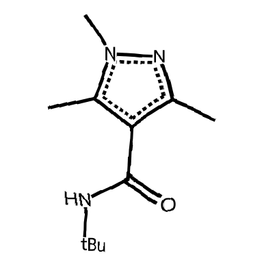 Cc1nn(C)c(C)c1C(=O)NC(C)(C)C